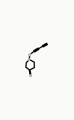 C#CC#CON1CCC(=O)CC1